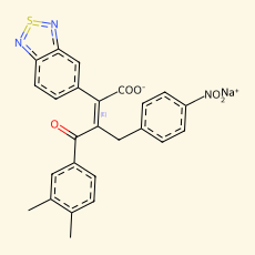 Cc1ccc(C(=O)/C(Cc2ccc([N+](=O)[O-])cc2)=C(/C(=O)[O-])c2ccc3nsnc3c2)cc1C.[Na+]